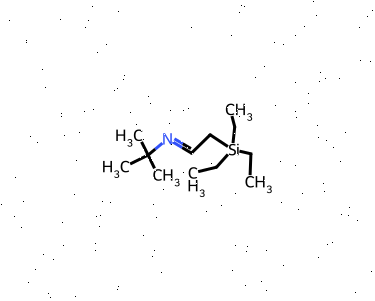 CC[Si](CC)(CC)CC=NC(C)(C)C